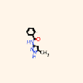 Cc1cc(NC(=O)c2[c]cccc2)n[nH]1